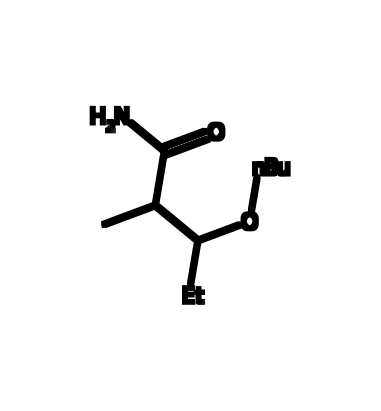 CCCCOC(CC)C(C)C(N)=O